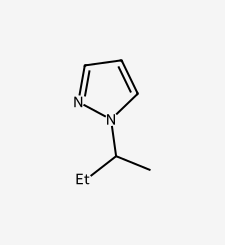 CCC(C)n1cccn1